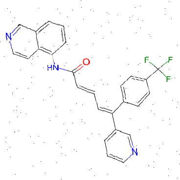 O=C(/C=C/C=C(\c1ccc(C(F)(F)F)cc1)c1cccnc1)Nc1cccc2cnccc12